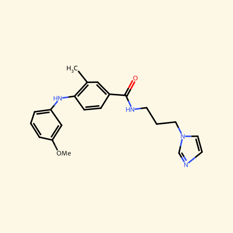 COc1cccc(Nc2ccc(C(=O)NCCCn3ccnc3)cc2C)c1